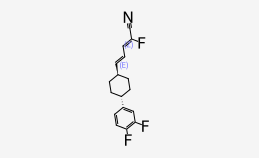 N#C/C(F)=C/C=C/[C@H]1CC[C@H](c2ccc(F)c(F)c2)CC1